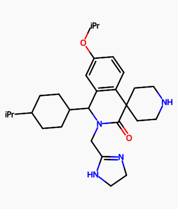 CC(C)Oc1ccc2c(c1)C(C1CCC(C(C)C)CC1)N(CC1=NCCN1)C(=O)C21CCNCC1